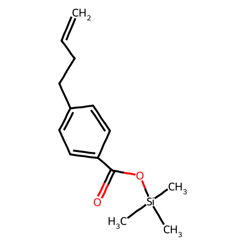 C=CCCc1ccc(C(=O)O[Si](C)(C)C)cc1